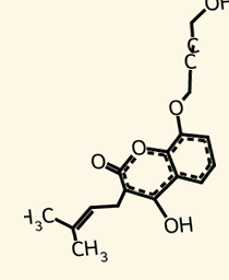 CC(C)=CCc1c(O)c2cccc(OCCCCO)c2oc1=O